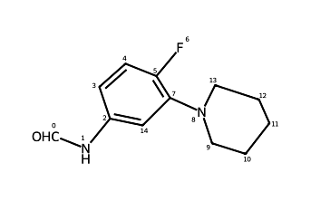 O=CNc1ccc(F)c(N2CCCCC2)c1